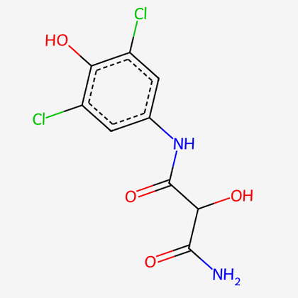 NC(=O)C(O)C(=O)Nc1cc(Cl)c(O)c(Cl)c1